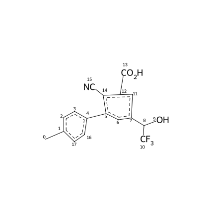 Cc1ccc(-c2cc(C(O)C(F)(F)F)cc(C(=O)O)c2C#N)cc1